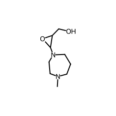 CN1CCCN(C2OC2CO)CC1